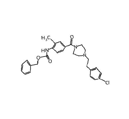 Cc1cc(C(=O)N2CCN(CCc3ccc(Cl)cc3)CC2)ccc1NC(=O)OCc1ccccc1